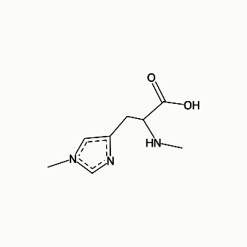 CNC(Cc1cn(C)cn1)C(=O)O